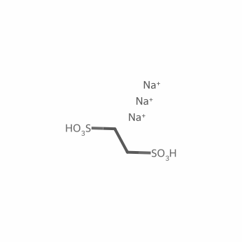 O=S(=O)(O)CCS(=O)(=O)O.[Na+].[Na+].[Na+]